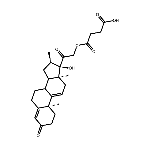 C[C@@H]1CC2C3CCC4=CC(=O)CC[C@]4(C)C3=CC[C@]2(C)[C@@]1(O)C(=O)COC(=O)CCC(=O)O